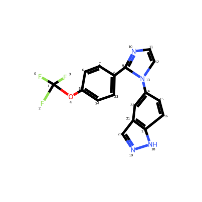 FC(F)(F)Oc1ccc(-c2nccn2-c2ccc3[nH]ncc3c2)cc1